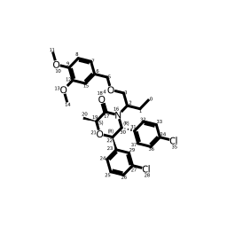 CCC(COCc1ccc(OC)c(OC)c1)N1C(=O)[C@H](C)O[C@H](c2cccc(Cl)c2)[C@H]1c1ccc(Cl)cc1